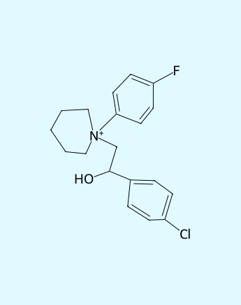 OC(C[N+]1(c2ccc(F)cc2)CCCCC1)c1ccc(Cl)cc1